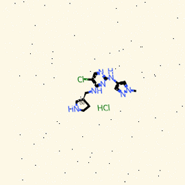 Cl.Cn1cc(Nc2ncc(Cl)c(NC[C@H]3CCNC3)n2)cn1